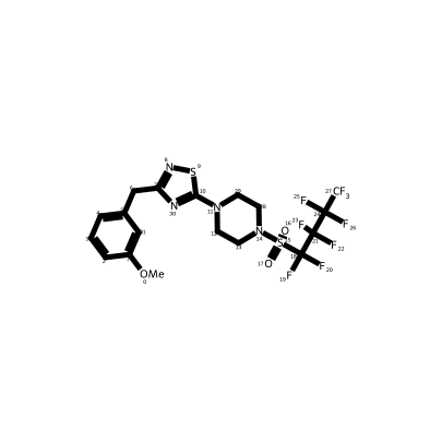 COc1cccc(Cc2nsc(N3CCN(S(=O)(=O)C(F)(F)C(F)(F)C(F)(F)C(F)(F)F)CC3)n2)c1